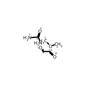 COC.NC(N)=O.O=CC=O